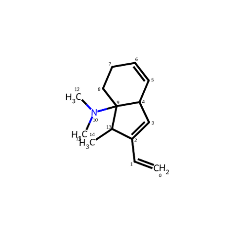 C=CC1=CC2C=CCCC2(N(C)C)C1C